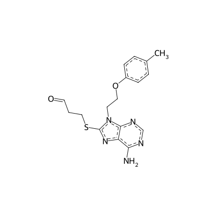 Cc1ccc(OCCn2c(SCCC=O)nc3c(N)ncnc32)cc1